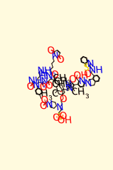 Cc1c(-c2ccc(N3CCc4cccc(C(=O)Nc5nc6ccccc6s5)c4C3)nc2C(=O)O)cnn1CC12CC3(C)CC(C)(C1)CC(OCCN(CCS(=O)(=O)O)C1CCN(C(=O)OCc4ccc(N(C(N)=O)[C@@H](CCCN)C(=O)NC(=O)[C@@H](NC(=O)CCCCCN5C(=O)C=CC5=O)C(C)C)cc4)CC1)(C3)C2